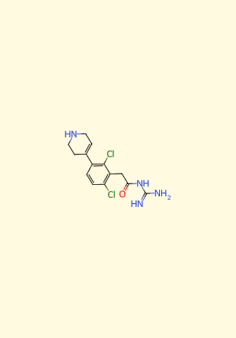 N=C(N)NC(=O)Cc1c(Cl)ccc(C2=CCNCC2)c1Cl